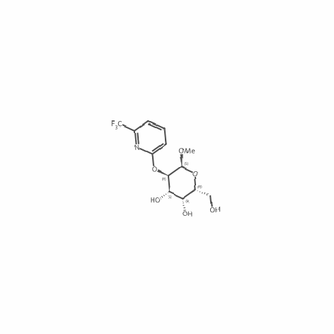 CO[C@H]1O[C@H](CO)[C@H](O)[C@H](O)[C@H]1Oc1cccc(C(F)(F)F)n1